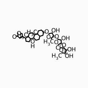 CC1OC(O[C@@H]2C(C)OC(O[C@@H]3C(C)OC(O[C@H]4CCC5(C)C(CCC6C5CCC5(C)C(C7=CC(=O)OC7)CCC65O)C4)C3O)C2O)C(O)[C@@H]1O